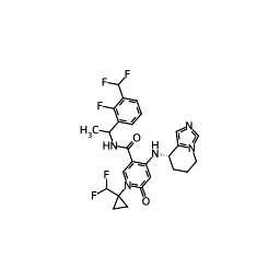 CC(NC(=O)c1cn(C2(C(F)F)CC2)c(=O)cc1N[C@H]1CCCn2cncc21)c1cccc(C(F)F)c1F